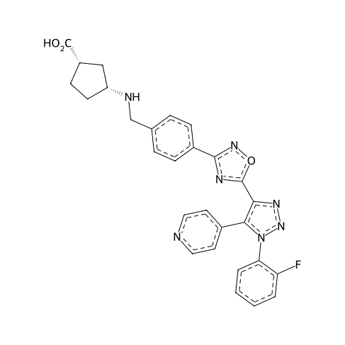 O=C(O)[C@H]1CC[C@@H](NCc2ccc(-c3noc(-c4nnn(-c5ccccc5F)c4-c4ccncc4)n3)cc2)C1